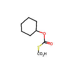 O=C(O)SC(=O)OC1CCCCC1